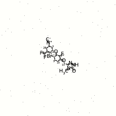 [C-]#[N+]c1cc(Oc2c(Br)ccc(OCc3n[nH]c(=O)n3C)c2F)cc(C(F)F)c1